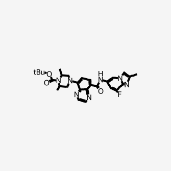 Cc1cn2cc(NC(=O)c3ccc(N4CC(C)N(C(=O)OC(C)(C)C)C(C)C4)c4nccnc34)cc(F)c2n1